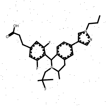 CCCn1cc(-c2ccc3c(c2)CC(C)N(CC(C)(C)F)C3c2c(F)cc(CCC(=O)O)cc2F)cn1